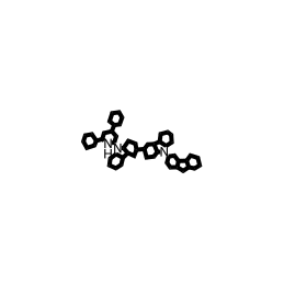 C1CCC(C2CC(C3CCCCC3)NC(N3C4CCCCC4C4CC(C5CCC6C(C5)C5CCCCC5N6C5CCC6CC7CCCCC7C6C5)CCC43)C2)CC1